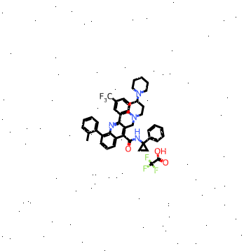 Cc1ccccc1-c1cccc2c(C(=O)NC3(c4ccccc4)CC3)c(CN3CCC(N4CCCCC4)CC3)c(-c3cccc(C(F)(F)F)c3)nc12.O=C(O)C(F)(F)F